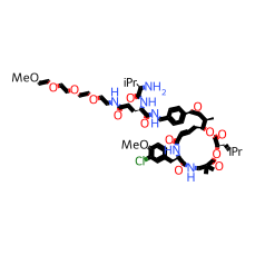 COCCOCCOCCOCCNC(=O)CC[C@H](NC(=O)[C@@H](N)C(C)C)C(=O)NCc1ccc([C@H]2O[C@@H]2[C@@H](C)[C@@H]2C/C=C/C(=O)N[C@H](Cc3ccc(OC)c(Cl)c3)C(=O)NCC(C)(C)C(=O)O[C@@H](CC(C)C)C(=O)O2)cc1